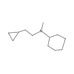 CN(CCC1CC1)C1CCCCC1